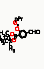 CCCOCOc1cc(C=O)ccc1B1OC(C)(C)C(C)(C)O1